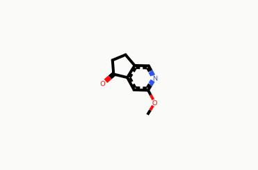 COc1cc2c(cn1)CCC2=O